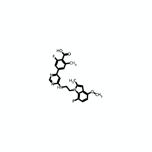 COc1ccc(F)c2c1cc(C)n2CCNc1cc(-c2cc(C)c(C(=O)O)c(F)c2)ncn1